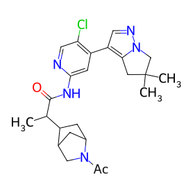 CC(=O)N1CC2CC1CC2C(C)C(=O)Nc1cc(-c2cnn3c2CC(C)(C)C3)c(Cl)cn1